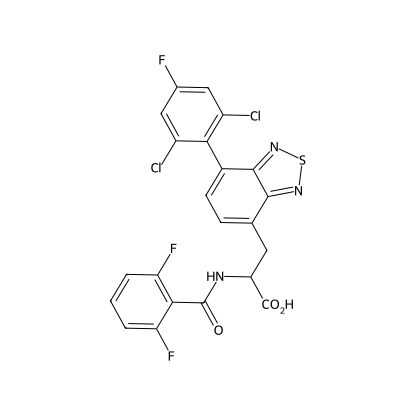 O=C(NC(Cc1ccc(-c2c(Cl)cc(F)cc2Cl)c2nsnc12)C(=O)O)c1c(F)cccc1F